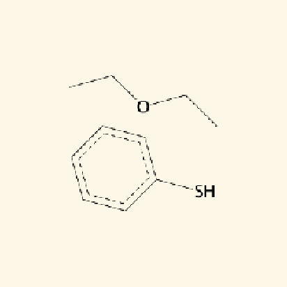 CCOCC.Sc1ccccc1